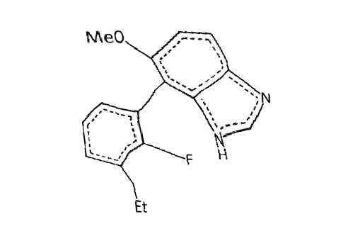 CCc1cccc(-c2c(OC)ccc3nc[nH]c23)c1F